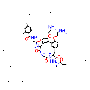 C=CC(=O)N(C)NC(=O)C1Cc2ccc(OCCN)c(c2)-c2cc(ccc2OCCN)C(N(C)C(=O)CNC(=O)c2ccc(C)cc2C)C(=O)NCC(=O)N1